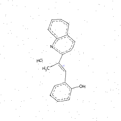 C/C(=C\c1ccccc1O)c1ccc2ccccc2n1.Cl